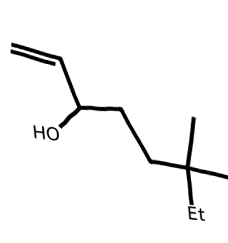 C=CC(O)CCC(C)(C)CC